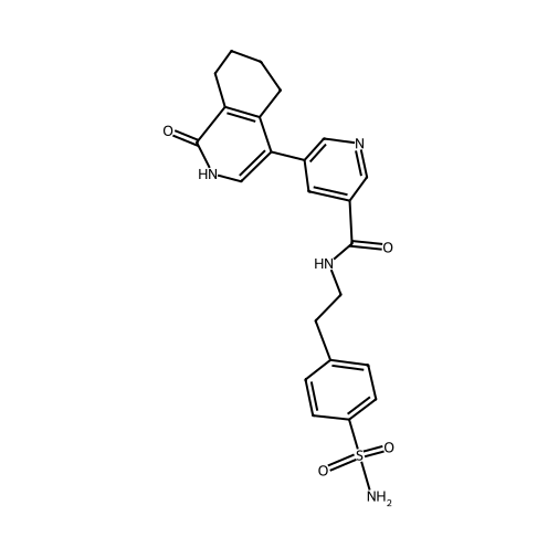 NS(=O)(=O)c1ccc(CCNC(=O)c2cncc(-c3c[nH]c(=O)c4c3CCCC4)c2)cc1